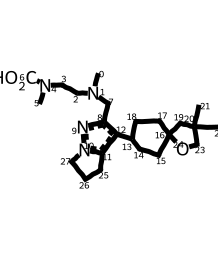 CN(CCN(C)C(=O)O)Cc1nn2c(c1C1CCC3(CC1)CC(C)(C)CO3)CCC2